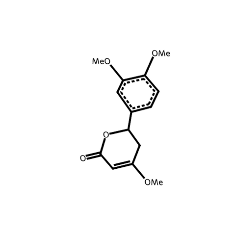 COC1=CC(=O)OC(c2ccc(OC)c(OC)c2)C1